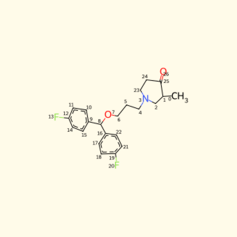 CC1CN(CCCOC(c2ccc(F)cc2)c2ccc(F)cc2)CCC1=O